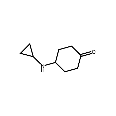 O=C1CCC(NC2CC2)CC1